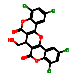 O=c1oc2c(Cl)cc(Cl)cc2c2c1C(CO)c1c(c3cc(Cl)cc(Cl)c3oc1=O)O2